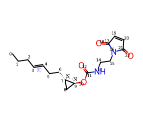 CCC/C=C/CC[C@H]1C[C@@H]1OC(=O)NCCN1C(=O)C=CC1=O